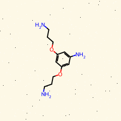 NCCCOc1cc(N)cc(OCCCN)c1